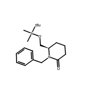 CC(C)(C)[Si](C)(C)OC[C@H]1CCCC(=O)N1Cc1ccccc1